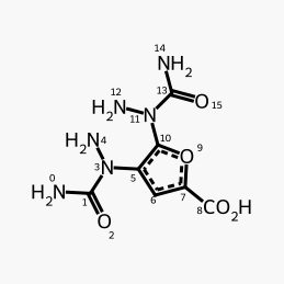 NC(=O)N(N)c1cc(C(=O)O)oc1N(N)C(N)=O